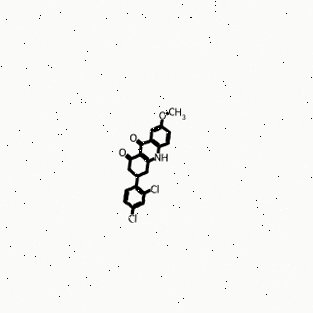 COc1ccc2[nH]c3c(c(=O)c2c1)C(=O)CC(c1ccc(Cl)cc1Cl)C3